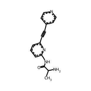 CC(N)C(=O)Nc1cccc(C#Cc2ccncc2)n1